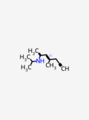 C#CC/C(C)=C/C(=C)NC(C)C